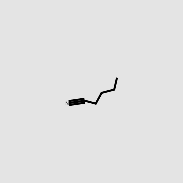 CC[CH]CC#N